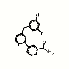 NC(=O)c1cccc(-c2cc(Cc3cc(F)cc(Cl)c3)ccn2)c1